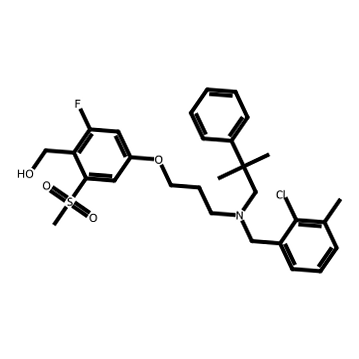 Cc1cccc(CN(CCCOc2cc(F)c(CO)c(S(C)(=O)=O)c2)CC(C)(C)c2ccccc2)c1Cl